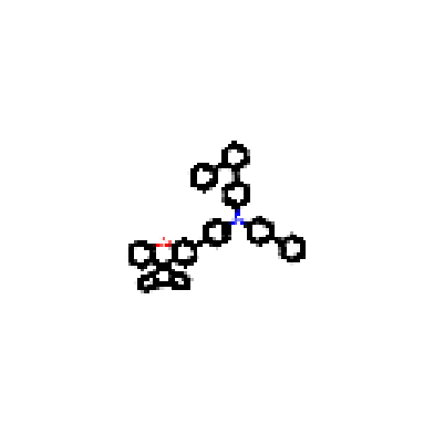 c1ccc(-c2ccc(N(c3ccc(-c4ccc5c(c4)Oc4ccccc4C54c5ccccc5-c5ccccc54)cc3)c3ccc(-c4ccccc4-c4ccccc4)cc3)cc2)cc1